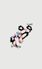 COc1ccc(C[C@@H](CCOC(C)(C)C)[C@@H](Oc2ccccc2)[C@H](C)OC(=O)[C@H](C)NC(=O)c2nccc(OC)c2OCOC(C)=O)cc1